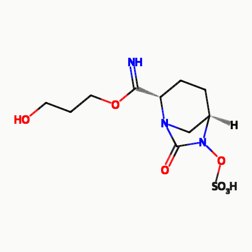 N=C(OCCCO)[C@@H]1CC[C@@H]2CN1C(=O)N2OS(=O)(=O)O